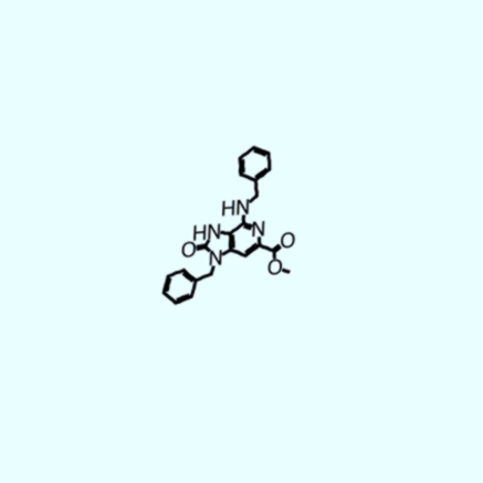 COC(=O)c1cc2c([nH]c(=O)n2Cc2ccccc2)c(NCc2ccccc2)n1